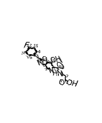 O=C(O)CNC(=O)c1ncc2nc(-c3ccc(F)cc3)oc2c1O